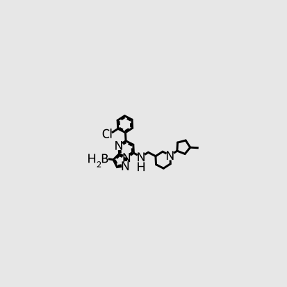 Bc1cnn2c(NCC3CCCN(C4CCC(C)C4)C3)cc(-c3ccccc3Cl)nc12